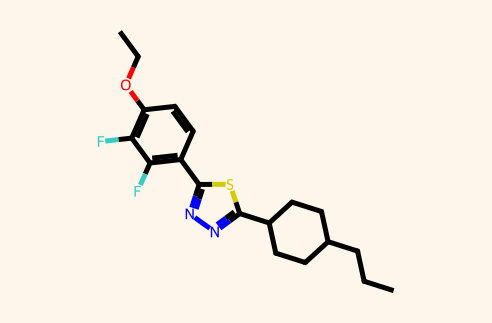 CCCC1CCC(c2nnc(-c3ccc(OCC)c(F)c3F)s2)CC1